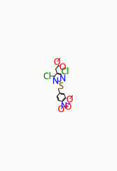 COC(=O)Cc1c(Cl)nc(SCc2ccc([N+](=O)[O-])c(OC)c2)nc1Cl